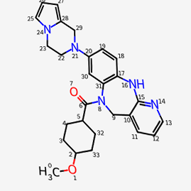 COC1CCC(C(=O)N2Cc3cccnc3Nc3ccc(N4CCn5cccc5C4)cc32)CC1